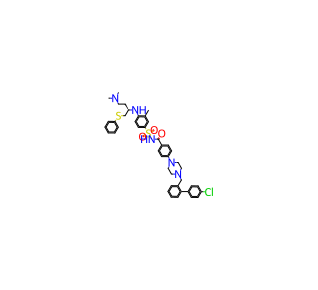 Cc1cc(S(=O)(=O)NC(=O)c2ccc(N3CCN(Cc4ccccc4-c4ccc(Cl)cc4)CC3)cc2)ccc1N[C@H](CCN(C)C)CSc1ccccc1